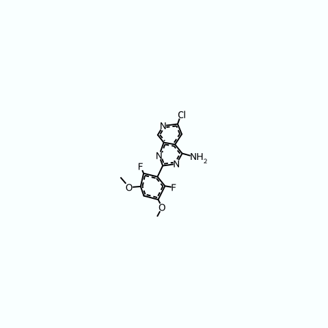 COc1cc(OC)c(F)c(-c2nc(N)c3cc(Cl)ncc3n2)c1F